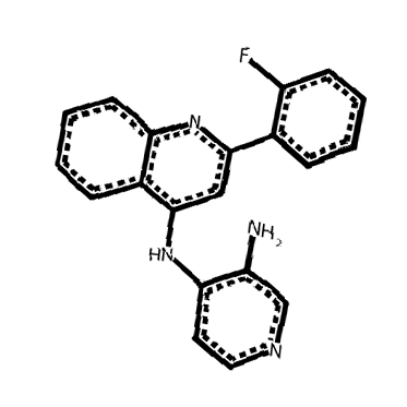 Nc1cnccc1Nc1cc(-c2ccccc2F)nc2ccccc12